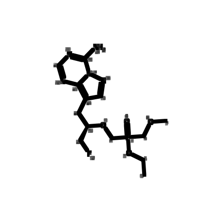 CCOP(=O)(COC)CO[C@@H](CF)Cc1cnn2c(N)ncnc12